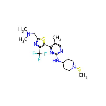 CSN1CCC(Nc2ncc(C)c(-c3sc(CN(C)C)nc3C(F)(F)F)n2)CC1